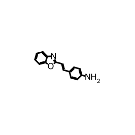 Nc1ccc(C=Cc2nc3ccccc3o2)cc1